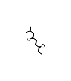 CCC(=O)CCC(=O)CC(C)C